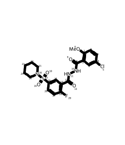 COc1ccc(Cl)cc1C(=O)NNC(=O)c1cc(S(=O)(=O)N2CCCCC2)ccc1F